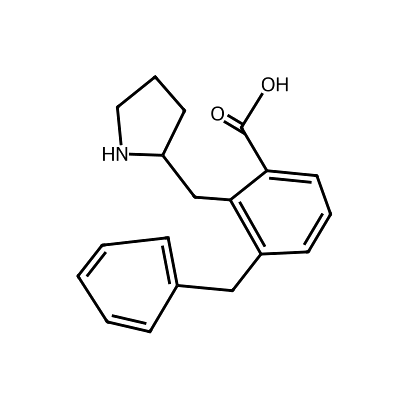 O=C(O)c1cccc(Cc2ccccc2)c1CC1CCCN1